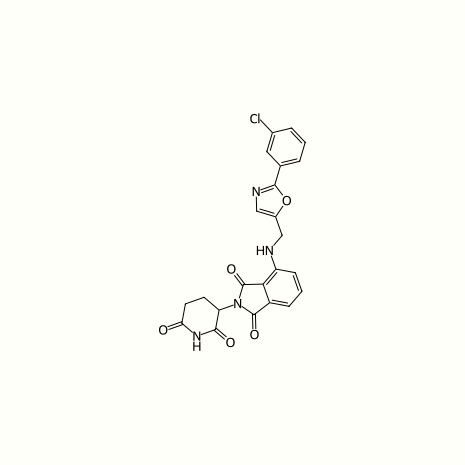 O=C1CCC(N2C(=O)c3cccc(NCc4cnc(-c5cccc(Cl)c5)o4)c3C2=O)C(=O)N1